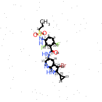 CCCS(=O)(=O)Nc1ccc(F)c(C(=O)Nc2cnc3[nH]c(C4CC4)c(Br)c3c2)c1F